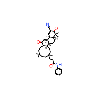 CC1(C)CCC2C(=O)C=C3[C@@]4(C)C=C(C#N)C(=O)C(C)(C)[C@@H]4CC[C@@]3(C)[C@]2(C)CC[C@@](C)(CCC(=O)Nc2ccccc2)CC1